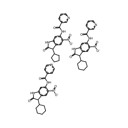 O=C(Nc1cc2c(cc1[N+](=O)[O-])C(C1CCCC1)C(=O)N2)c1cccnc1.O=C(Nc1cc2c(cc1[N+](=O)[O-])C(C1CCCCC1)C(=O)N2)c1cccnc1.O=C(Nc1cc2c(cc1[N+](=O)[O-])C(C1CCCCC1)C(=O)N2)c1ccncc1